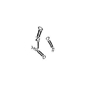 O=[SiH][Zr]=[O].[O]=[Ti]